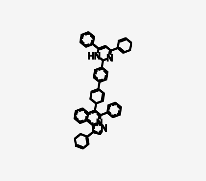 C1=CCCC(c2cnn3c(-c4ccccc4)c(C4C=CC(c5ccc(C6N=C(C7=CCCC=C7)C=C(c7ccccc7)N6)cc5)=CC4)c4ccccc4c23)=C1